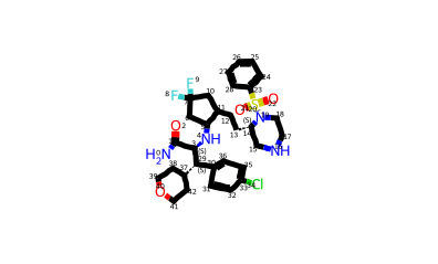 NC(=O)[C@@H](NC1CC(F)(F)CC1CC[C@H]1CNCCN1S(=O)(=O)c1ccccc1)[C@H](c1ccc(Cl)cc1)C1CCOCC1